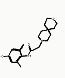 Cc1cc(O)cc(C)c1NC(=O)CN1CCC2(CCOCC2)CC1